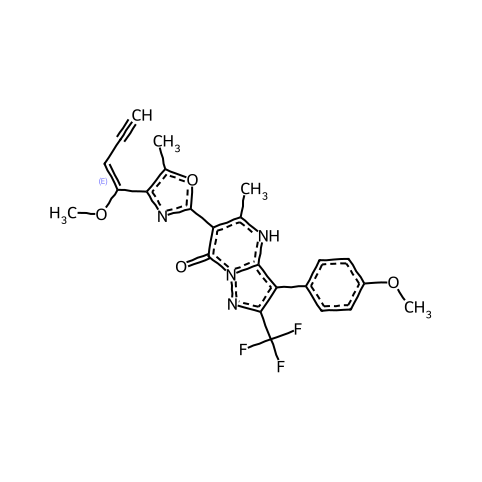 C#C/C=C(/OC)c1nc(-c2c(C)[nH]c3c(-c4ccc(OC)cc4)c(C(F)(F)F)nn3c2=O)oc1C